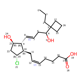 CCCC1(C(O)C/C=C/[C@@H]2[C@@H](C/C=C\CCCC(=O)O)[C@H](Cl)C[C@H]2O)CCC1